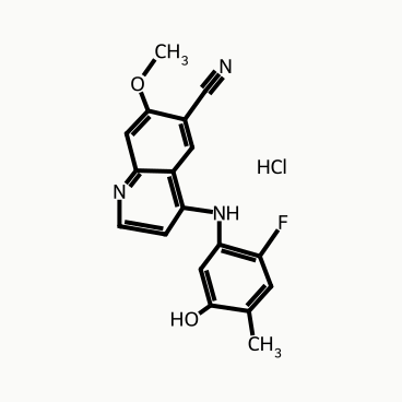 COc1cc2nccc(Nc3cc(O)c(C)cc3F)c2cc1C#N.Cl